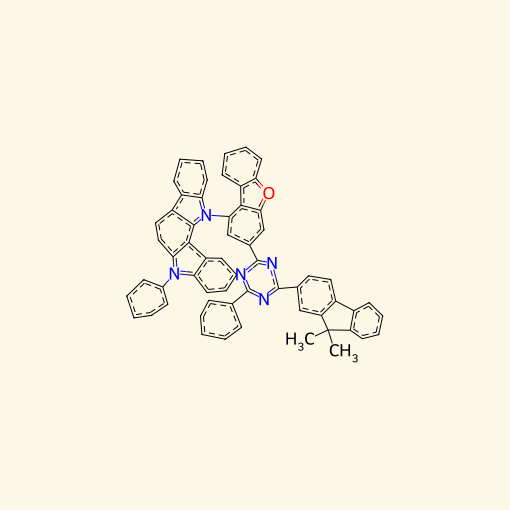 CC1(C)c2ccccc2-c2ccc(-c3nc(-c4ccccc4)nc(-c4cc(-n5c6ccccc6c6ccc7c(c8ccccc8n7-c7ccccc7)c65)c5c(c4)oc4ccccc45)n3)cc21